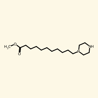 COC(=O)CCCCCCCCCCN1CCNCC1